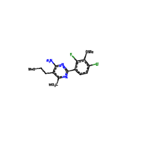 COCCc1c(N)nc(-c2ccc(Cl)c(OC)c2F)nc1C(=O)O